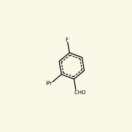 CC(C)c1cc(F)ccc1C=O